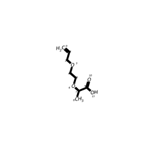 C=CCOCCOC(C)C(=O)O